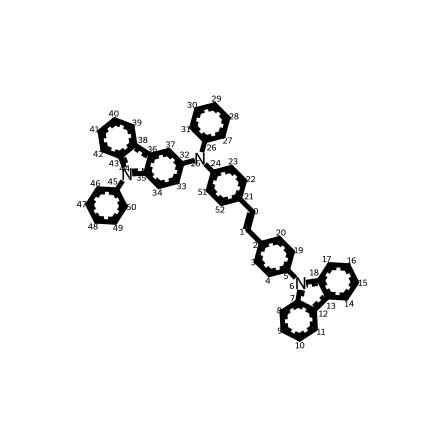 C(=C\c1ccc(-n2c3ccccc3c3ccccc32)cc1)/c1ccc(N(c2ccccc2)c2ccc3c(c2)c2ccccc2n3-c2ccccc2)cc1